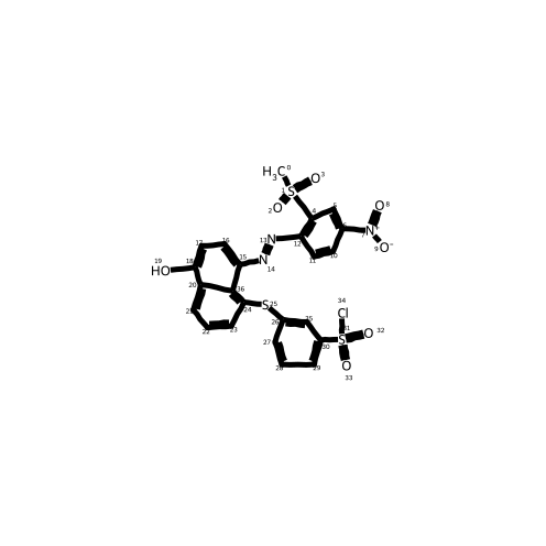 CS(=O)(=O)c1cc([N+](=O)[O-])ccc1N=Nc1ccc(O)c2cccc(Sc3cccc(S(=O)(=O)Cl)c3)c12